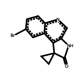 O=C1Nc2cnc3ccc(Br)cc3c2C12CC2